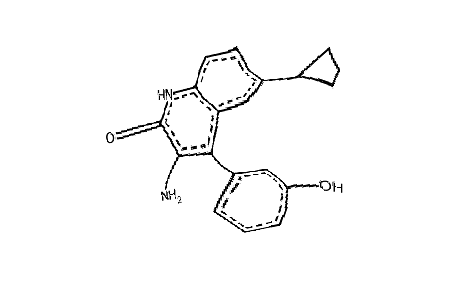 Nc1c(-c2cccc(O)c2)c2cc(C3CC3)ccc2[nH]c1=O